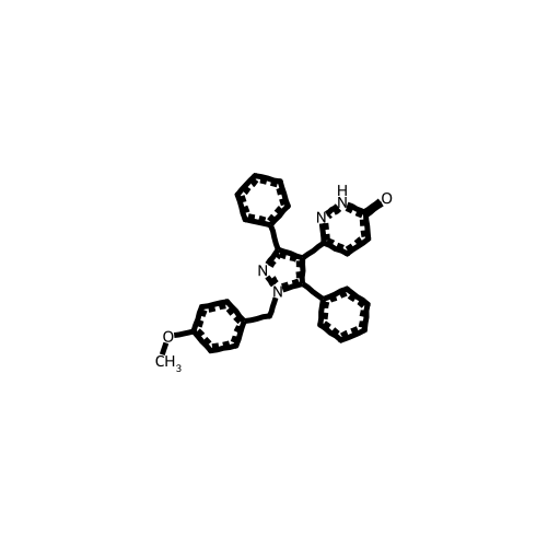 COc1ccc(Cn2nc(-c3ccccc3)c(-c3ccc(=O)[nH]n3)c2-c2ccccc2)cc1